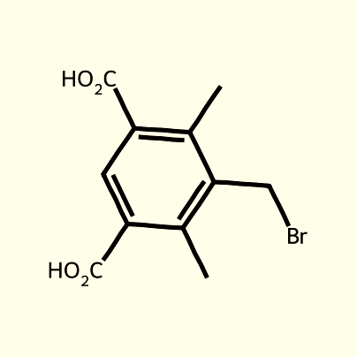 Cc1c(C(=O)O)cc(C(=O)O)c(C)c1CBr